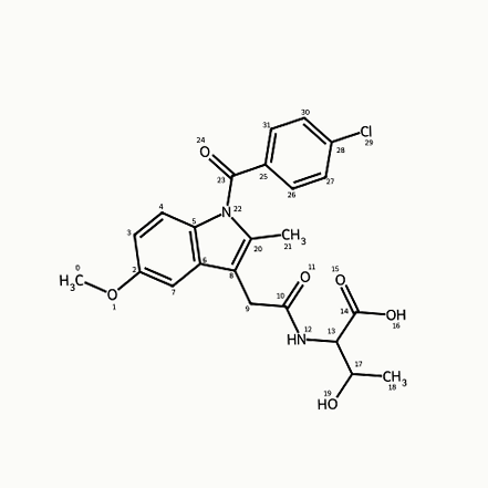 COc1ccc2c(c1)c(CC(=O)NC(C(=O)O)C(C)O)c(C)n2C(=O)c1ccc(Cl)cc1